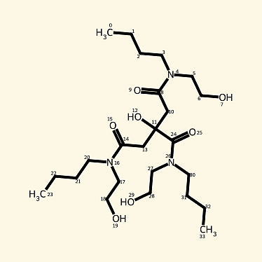 CCCCN(CCO)C(=O)CC(O)(CC(=O)N(CCO)CCCC)C(=O)N(CCO)CCCC